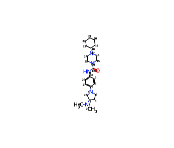 CN(C)C1CCN(c2ccc(NC(=O)N3CCN(C4CCCCC4)CC3)cc2)C1